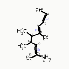 CC/C=C\C=C(/CC)C(C)C(C)/C=C(/N)CC